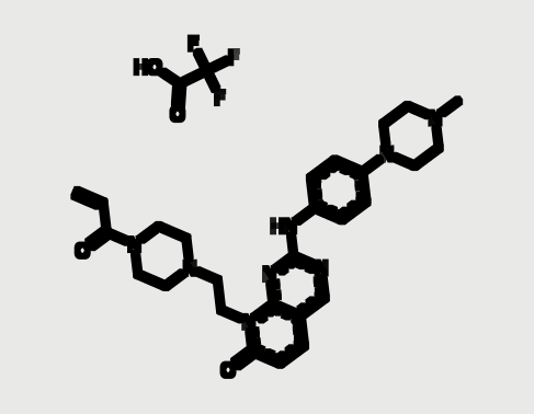 C=CC(=O)N1CCN(CCn2c(=O)ccc3cnc(Nc4ccc(N5CCN(C)CC5)cc4)nc32)CC1.O=C(O)C(F)(F)F